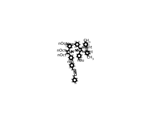 CCCCCCCCC1=C(c2ccc(CCCC)cc2)[N+](=[N-])C(c2cccc(CCCCCCCC)c2)=C1CCCCCCCC.CCCCCCCCc1cccc(C2=C(CCCCC)C(CCCCC)=C(c3ccc(CCCC)cc3)[N+]2=[N-])c1.Cc1cc[c]([Ni][c]2ccc(C)cc2)cc1.c1ccc(C[O][Ni][O]Cc2ccccc2)cc1